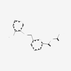 O=Cc1ccncc1OCc1cccc(C(=O)OC(=O)C(F)(F)F)n1